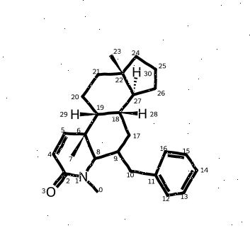 CN1C(=O)C=C[C@@]2(C)C1C(Cc1ccccc1)C[C@@H]1[C@H]2CC[C@]2(C)CCC[C@@H]12